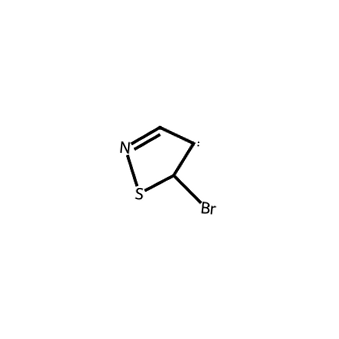 BrC1[C]C=NS1